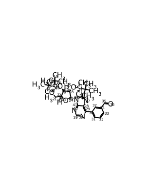 CC(C)(C)[Si](C)(C)O[C@@H]1[C@@H]2O[Si](C(C)(C)C)(C(C)(C)C)OC[C@H]2O[C@H]1n1cnc2c(-c3cccc(C=O)c3)ncnc21